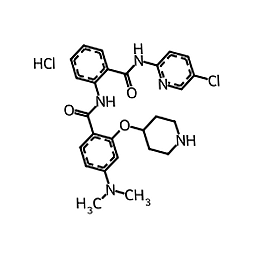 CN(C)c1ccc(C(=O)Nc2ccccc2C(=O)Nc2ccc(Cl)cn2)c(OC2CCNCC2)c1.Cl